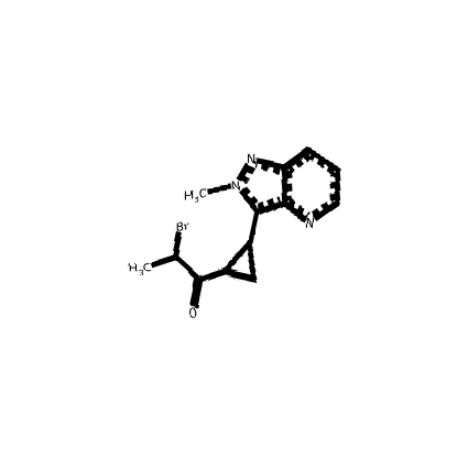 CC(Br)C(=O)C1CC1c1c2ncccc2nn1C